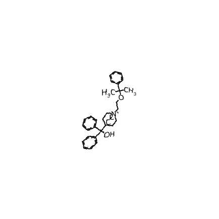 CC(C)(OCC[N+]12CCC(C(O)(c3ccccc3)c3ccccc3)(CC1)CC2)c1ccccc1